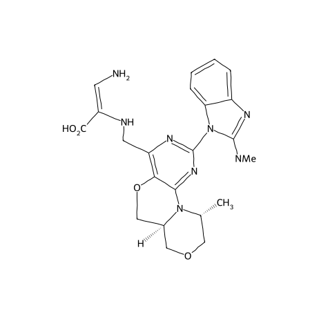 CNc1nc2ccccc2n1-c1nc(CN/C(=C\N)C(=O)O)c2c(n1)N1[C@@H](COC[C@H]1C)CO2